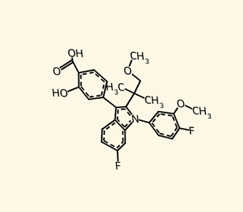 COCC(C)(C)c1c(-c2ccc(C(=O)O)c(O)c2)c2ccc(F)cc2n1-c1ccc(F)c(OC)c1